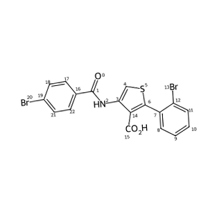 O=C(Nc1csc(-c2ccccc2Br)c1C(=O)O)c1ccc(Br)cc1